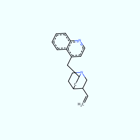 C=CC1CN2CCC1CC2Cc1ccnc2ccccc12